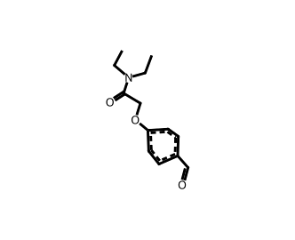 CCN(CC)C(=O)COc1ccc(C=O)cc1